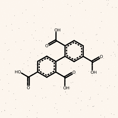 O=C(O)c1ccc(-c2cc(C(=O)O)ccc2C(=O)O)c(C(=O)O)c1